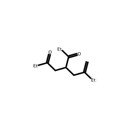 C=C(CC)CC(CC(=O)CC)C(=O)CC